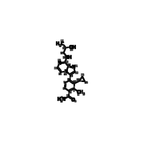 Cc1c(C(N)=O)ccc(-c2cnc3c(NCC(C)O)nccn23)c1C1CC1